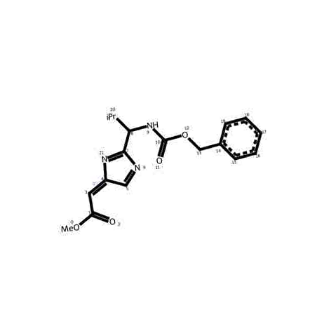 COC(=O)/C=C1\C=NC(C(NC(=O)OCc2ccccc2)C(C)C)=N1